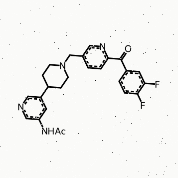 CC(=O)Nc1cncc(C2CCN(Cc3ccc(C(=O)c4ccc(F)c(F)c4)nc3)CC2)c1